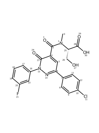 CN(C(=O)c1cc(-c2ccc(Cl)cc2)nn(-c2cccc(F)c2)c1=O)[C@@H](CO)C(=O)O